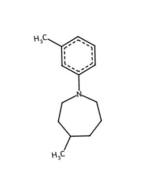 Cc1cccc(N2CCCC(C)CC2)c1